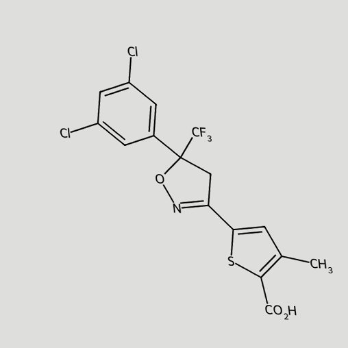 Cc1cc(C2=NOC(c3cc(Cl)cc(Cl)c3)(C(F)(F)F)C2)sc1C(=O)O